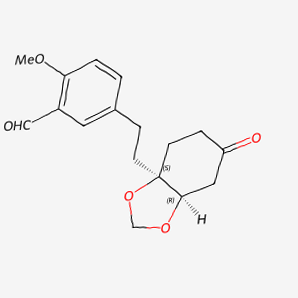 COc1ccc(CC[C@]23CCC(=O)C[C@H]2OCO3)cc1C=O